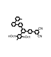 CCCCCCCCc1cc(-c2cc(-c3ccc(-c4cc(C#N)cc(C#N)c4)cc3)cc(-c3cccc(-c4ccccc4-c4cccc(C)c4)c3)c2)c(CCCCCCCC)cc1C